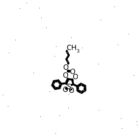 CCCCCOC(=O)OC1=C(c2ccccc2)S(=O)(=O)C(c2ccccc2)C1=O